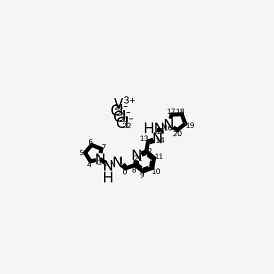 C(=NNN1CCCC1)c1cccc(C=NNN2CCCC2)n1.[Cl-].[Cl-].[Cl-].[V+3]